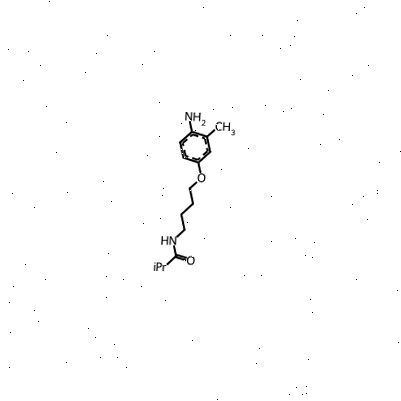 Cc1cc(OCCCCNC(=O)C(C)C)ccc1N